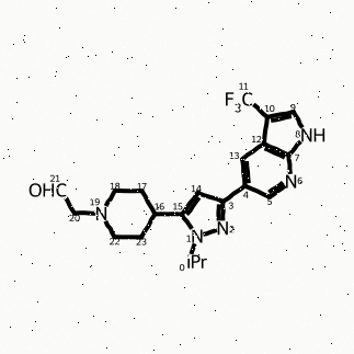 CC(C)n1nc(-c2cnc3[nH]cc(C(F)(F)F)c3c2)cc1C1CCN(CC=O)CC1